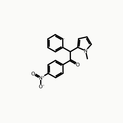 Cn1cccc1C(C(=O)c1ccc([N+](=O)[O-])cc1)c1[c]cccc1